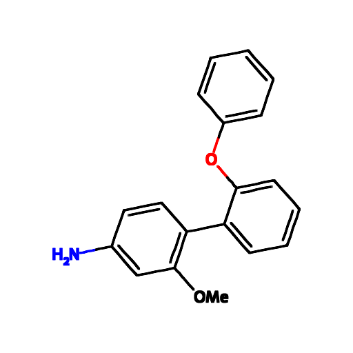 COc1cc(N)ccc1-c1ccccc1Oc1ccccc1